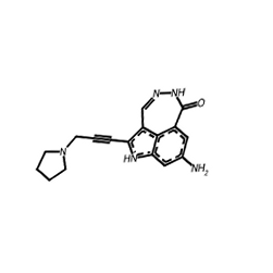 Nc1cc2c3c(c(C#CCN4CCCC4)[nH]c3c1)C=NNC2=O